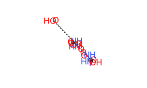 O=C(O)CCCCCCCCCCCCCCCCCCC(=O)N[C@@H](CCC(=O)NCCOCCOCC(=O)NCCCC[C@H](NI)C(=O)O)C(=O)O